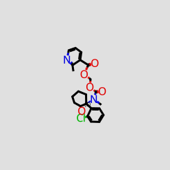 Cc1ncccc1C(=O)OCOC(=O)N(C)[C@]1(c2ccccc2Cl)CCCCC1=O